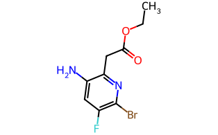 CCOC(=O)Cc1nc(Br)c(F)cc1N